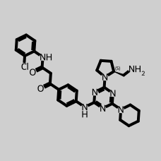 NC[C@@H]1CCCN1c1nc(Nc2ccc(C(=O)CC(=O)Nc3ccccc3Cl)cc2)nc(N2CCCCC2)n1